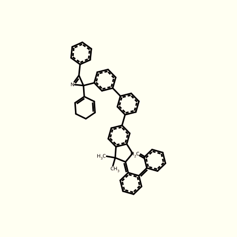 C=c1cccc/c1=c1\cccc\c1=C1\Cc2cc(-c3cccc(-c4cccc(C5(C6=CCCC=C6)N=C5c5ccccc5)c4)c3)ccc2C1(C)C